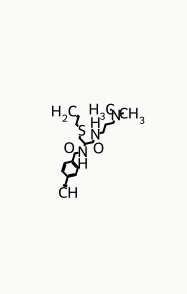 C#Cc1ccc(C(=O)NC(CSCC=C)C(=O)NCCCN(C)C)cc1